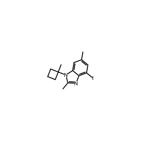 Cc1cc(I)c2nc(C)n(C3(C)CCC3)c2c1